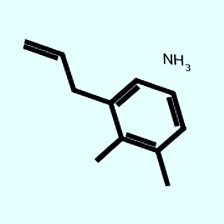 C=CCc1cccc(C)c1C.N